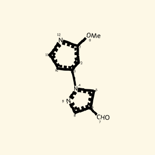 COc1cc(-n2cc(C=O)cn2)ccn1